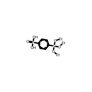 CCO[Si](OCC)(OCC)c1ccc(P(=O)(O)O)cc1